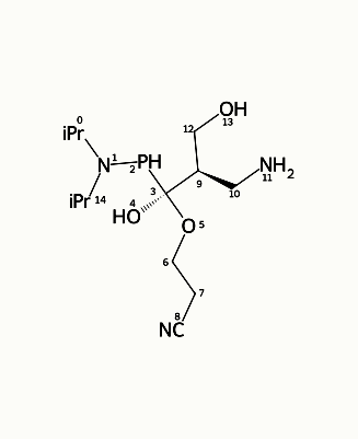 CC(C)N(P[C@](O)(OCCC#N)[C@H](CN)CO)C(C)C